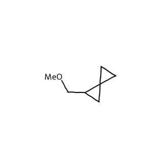 COCC1CC12CC2